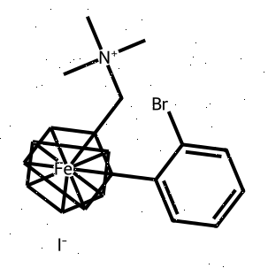 C[N+](C)(C)C[C]12[CH]3[CH]4[CH]5[C]1(c1ccccc1Br)[Fe]43521678[CH]2[CH]1[CH]6[CH]7[CH]28.[I-]